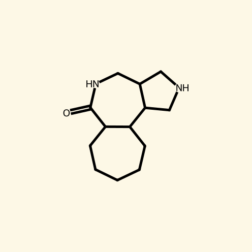 O=C1NCC2CNCC2C2CCCCCC12